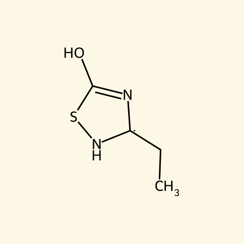 CC[C]1N=C(O)SN1